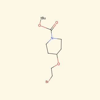 CC(C)(C)OC(=O)N1CCC(OCCBr)CC1